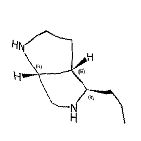 CC[C@H]1NC[C@@H]2NCC[C@@H]21